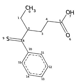 CCC(CCC(=O)O)C(=S)c1ccccc1